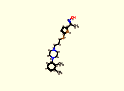 CC(=NO)c1ccc(SCCCN2CCN(c3cccc(C)c3C)CC2)s1